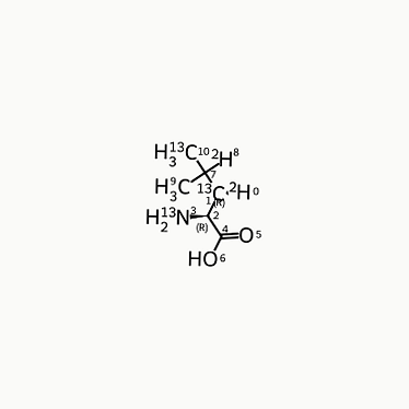 [2H][13C@@H]([C@H]([13NH2])C(=O)O)C([2H])(C)[13CH3]